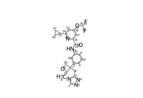 Cn1cnnc1CC1(c2cccc(NC(=O)c3cc(OC(F)F)cc(C4CC4)n3)c2)COC1